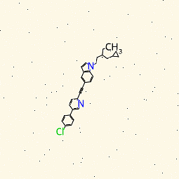 CC[C](CCn1ccc2cc(C#Cc3ccc(-c4ccc(Cl)cc4)cn3)ccc21)CC1CC1